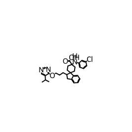 CC(C)c1cncnc1OCCCC1Cc2ccccc2C12CCC(Nc1cccc(Cl)c1)(C(=O)O)CC2